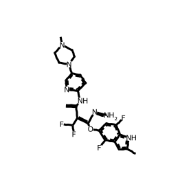 C=C(Nc1ccc(N2CCN(C)CC2)cn1)/C(=C(\N=C/N)Oc1cc(F)c2[nH]c(C)cc2c1F)C(F)F